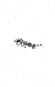 Cc1c(CCNCc2cnn(-c3ccnc4c3ccn4C)c2)ccc2c1COC2=O